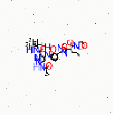 [2H]C([2H])([2H])NC(=O)c1nnc(NC(=O)C2CC2)cc1Nc1cccc(-c2noc(C(CCC)C(=O)N3CCOCC3)n2)c1OC